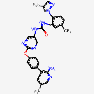 Nc1ncc(C(F)(F)F)cc1-c1ccc(Oc2ncc(NC(=O)Nc3cc(C(F)(F)F)ccc3-n3cc(C(F)(F)F)cn3)cn2)cc1